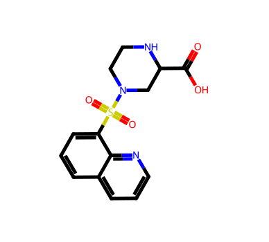 O=C(O)C1CN(S(=O)(=O)c2cccc3cccnc23)CCN1